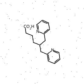 O=C(O)CCCC(Cc1ccccn1)Cc1ccccn1